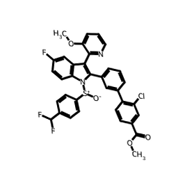 COC(=O)c1ccc(-c2cccc(-c3c(-c4ncccc4OC)c4cc(F)ccc4n3[S+]([O-])c3ccc(C(F)F)cc3)c2)c(Cl)c1